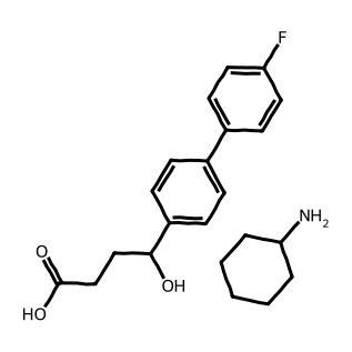 NC1CCCCC1.O=C(O)CCC(O)c1ccc(-c2ccc(F)cc2)cc1